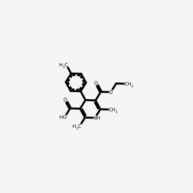 CCOC(=O)C1=C(C)NC(C)=C(C(=O)O)C1c1ccc(C)cc1